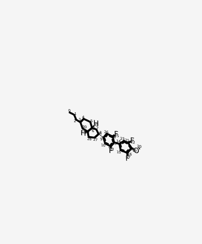 CCCC1CC[C@@H]2C[C@H](c3cc(F)c(-c4cc(F)c(OC)c(F)c4)c(F)c3)CC[C@@H]2C1